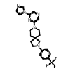 FC(F)(F)c1ccc(N2CCC3(CCN(c4cncc(-n5ccnc5)n4)CC3)C2)cn1